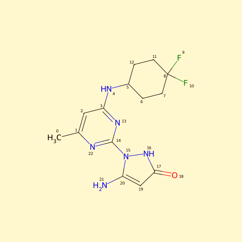 Cc1cc(NC2CCC(F)(F)CC2)nc(-n2[nH]c(=O)cc2N)n1